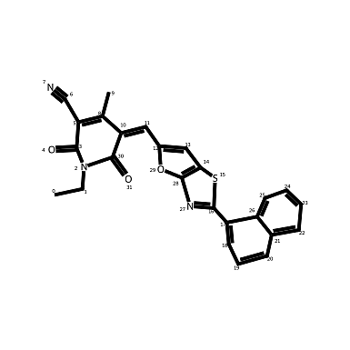 CCN1C(=O)C(C#N)=C(C)/C(=C/c2cc3sc(-c4cccc5ccccc45)nc3o2)C1=O